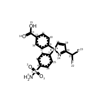 NS(=O)(=O)c1ccc([N+]2(c3ccc(C(=O)O)cc3)C=CC(C(F)F)=N2)cc1